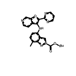 Cc1ccc(Nc2c(-c3ncccn3)oc3cnccc23)c2cn(C(=O)OC(C)(C)C)nc12